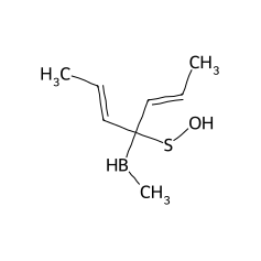 CBC(C=CC)(C=CC)SO